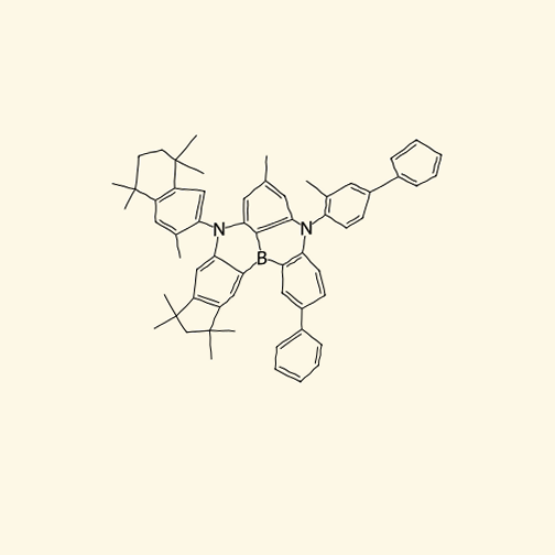 Cc1cc2c3c(c1)N(c1cc4c(cc1C)C(C)(C)CCC4(C)C)c1cc4c(cc1B3c1cc(-c3ccccc3)ccc1N2c1ccc(-c2ccccc2)cc1C)C(C)(C)CC4(C)C